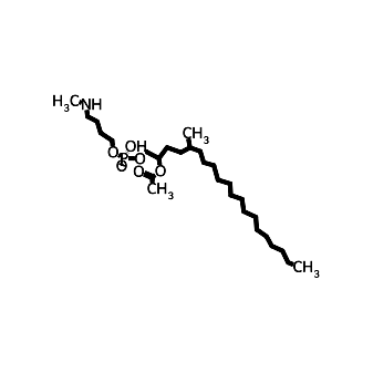 CCCCCCCCCCCCCCCC(C)CCC(COP(=O)(O)OCCCCNC)OC(C)=O